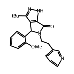 COc1ccccc1C1c2c(C(C)(C)C)n[nH]c2C(=O)N1CCc1cccnc1